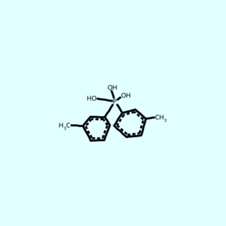 Cc1cccc(P(O)(O)(O)c2cccc(C)c2)c1